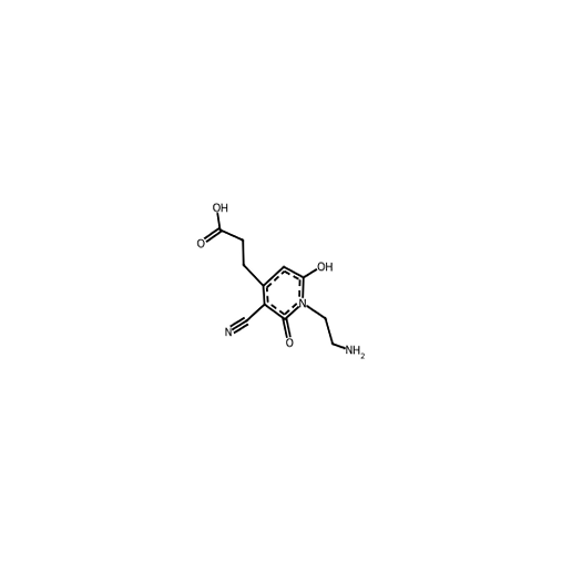 N#Cc1c(CCC(=O)O)cc(O)n(CCN)c1=O